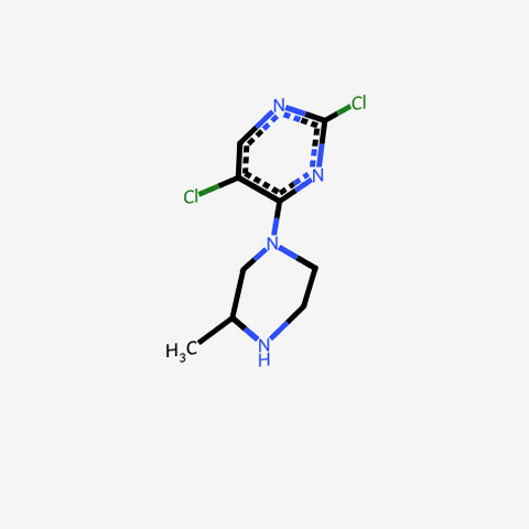 CC1CN(c2nc(Cl)ncc2Cl)CCN1